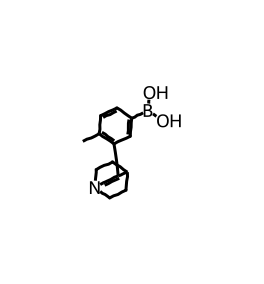 Cc1ccc(B(O)O)cc1C1=CN2CCC1CC2